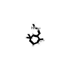 CN/N=C\C1=CC(C)(C)C=CC=C1C